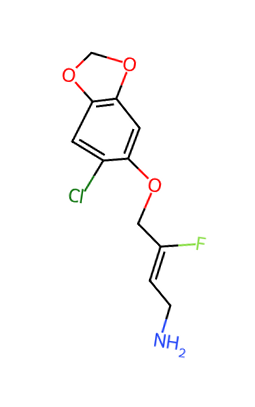 NCC=C(F)COc1cc2c(cc1Cl)OCO2